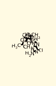 CC(=O)[C@@]1(O)[C@@H](CC(C)C)O[C@@H](n2cnc3c(Cl)nc(N)nc32)[C@@]1(S)C(C)=O